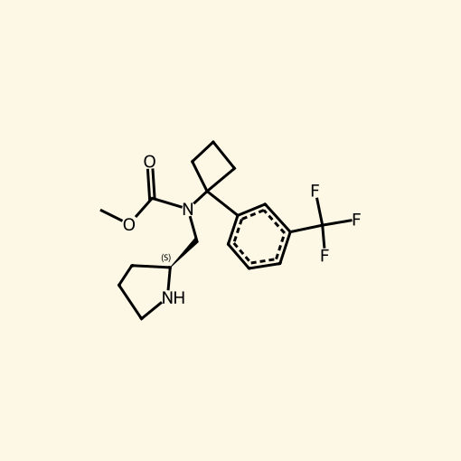 COC(=O)N(C[C@@H]1CCCN1)C1(c2cccc(C(F)(F)F)c2)CCC1